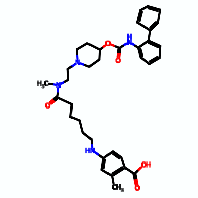 Cc1cc(NCCCCCC(=O)N(C)CCN2CCC(OC(=O)Nc3ccccc3-c3ccccc3)CC2)ccc1C(=O)O